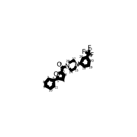 O=C(c1ccc(-c2ccccc2)o1)N1CCN(c2cccc(C(F)(F)F)c2)CC1